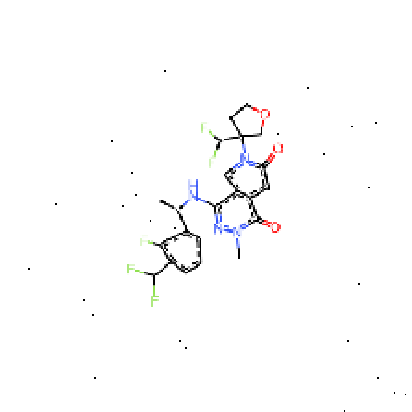 C[C@@H](Nc1nn(C)c(=O)c2cc(=O)n(C3(C(F)F)CCOC3)cc12)c1cccc(C(F)F)c1F